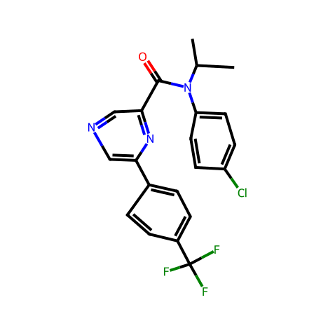 CC(C)N(C(=O)c1cncc(-c2ccc(C(F)(F)F)cc2)n1)c1ccc(Cl)cc1